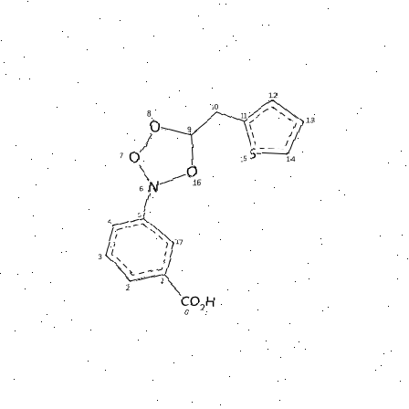 O=C(O)c1cccc(N2OOC(Cc3cccs3)O2)c1